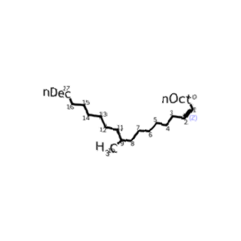 CCCCCCCC/C=C\CCCCCCC(C)[CH]CCCCCCCCCCCCCCC